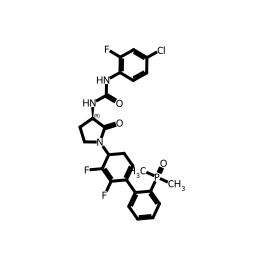 CP(C)(=O)c1ccccc1C1=CCC(N2CC[C@@H](NC(=O)Nc3ccc(Cl)cc3F)C2=O)C(F)=C1F